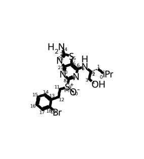 CC(C)C[C@H](CO)Nc1nc([S@@+]([O-])CCc2ccccc2Br)nc2nc(N)sc12